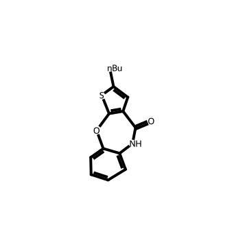 CCCCc1cc2c(s1)Oc1ccccc1NC2=O